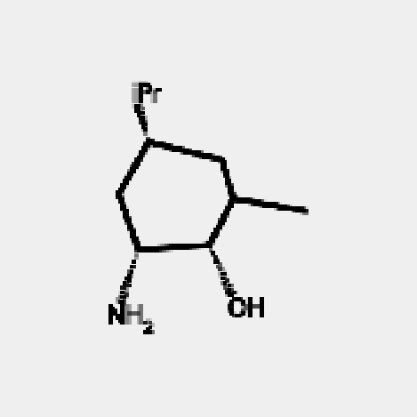 CC(C)[C@@H]1CC(C)[C@H](O)[C@H](N)C1